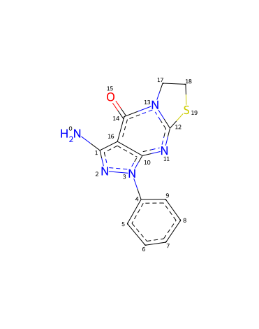 Nc1nn(-c2ccccc2)c2nc3n(c(=O)c12)CCS3